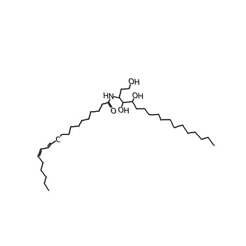 CCCCC/C=C\C=C\CCCCCCCCCCC(=O)NC(CCO)C(O)C(O)CCCCCCCCCCCCC